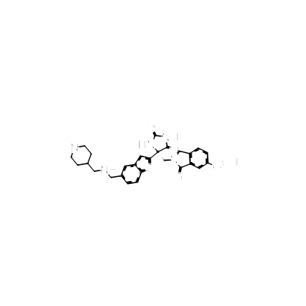 COc1ccc2c(c1)C(=O)N(C[C@@]1(c3cc4cc(CNCC5CCNCC5)ccc4o3)NC(=O)NC1=O)C2